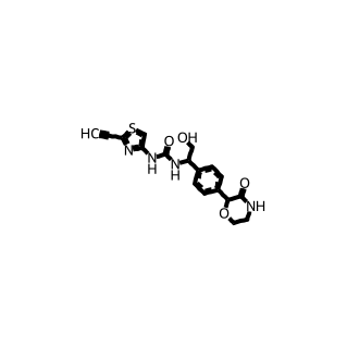 C#Cc1nc(NC(=O)NC(CO)c2ccc(C3OCCNC3=O)cc2)cs1